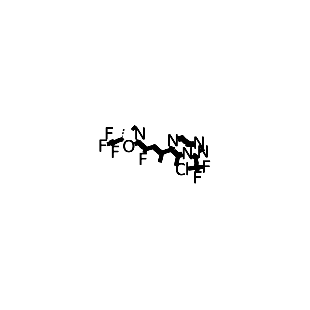 C=N/C(O[C@@H](C)C(F)(F)F)=C(F)\C=C(/C)c1ncc2nnc(C(F)(F)Cl)n2c1C